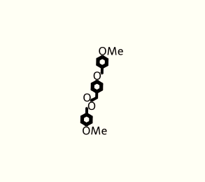 COc1ccc(COC(=O)Cc2ccc(OCc3ccc(OC)cc3)cc2)cc1